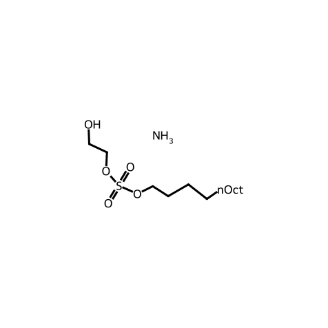 CCCCCCCCCCCCOS(=O)(=O)OCCO.N